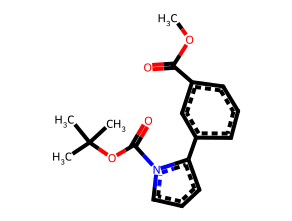 COC(=O)c1cccc(-c2cccn2C(=O)OC(C)(C)C)c1